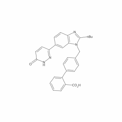 CCCCc1nc2ccc(-c3ccc(=O)[nH]n3)cc2n1Cc1ccc(-c2ccccc2C(=O)O)cc1